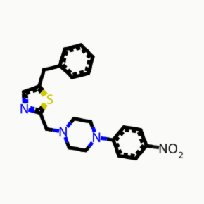 O=[N+]([O-])c1ccc(N2CCN(Cc3ncc(Cc4ccccc4)s3)CC2)cc1